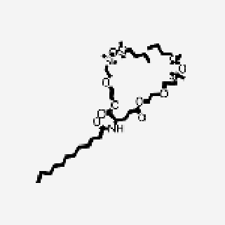 CCCCCCCCCCCC(=O)NC(CCC(=O)OCCOCC[Si](C)(C)O[Si](C)(C)CCCC)C(=O)OCCOCC[Si](C)(C)O[Si](C)(C)CCCC